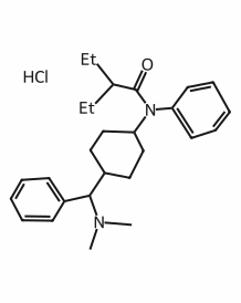 CCC(CC)C(=O)N(c1ccccc1)C1CCC(C(c2ccccc2)N(C)C)CC1.Cl